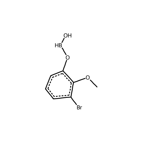 COc1c(Br)cccc1OBO